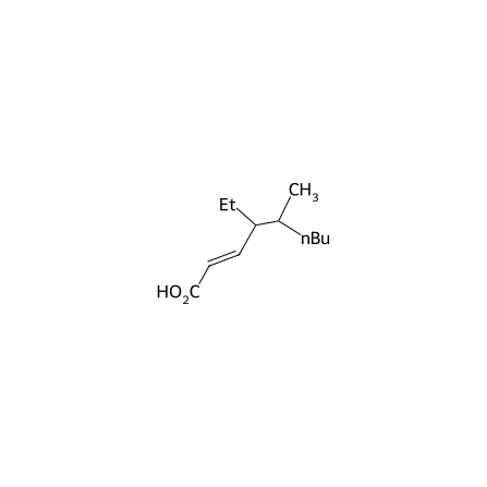 CCCCC(C)C(C=CC(=O)O)CC